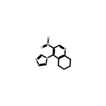 O=[N+]([O-])c1cnc2c(c1-n1ccnc1)CCCC2